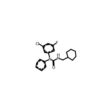 O=C(NCC1CCCCC1)N(c1ccccc1)c1cc(F)cc(Cl)c1